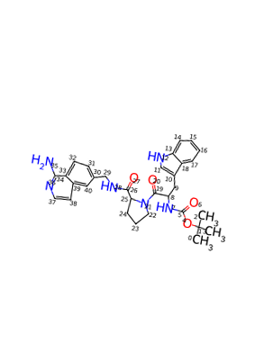 CC(C)(C)OC(=O)NC(Cc1c[nH]c2ccccc12)C(=O)N1CCCC1C(=O)NCc1ccc2c(N)nccc2c1